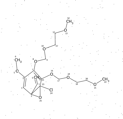 C=CC12C=C(OC)C(OCOCCOC)=C(OCOCCOC)C1(Cl)O2